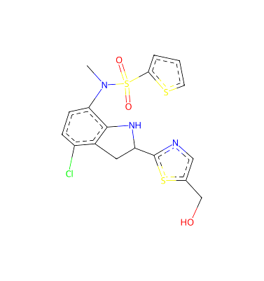 CN(c1ccc(Cl)c2c1NC(c1ncc(CO)s1)C2)S(=O)(=O)c1cccs1